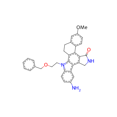 COc1ccc2c(c1)CCc1c-2c2c(c3c4cc(N)ccc4n(CCOCc4ccccc4)c13)CNC2=O